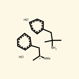 CC(C)(N)Cc1ccccc1.CN[C@@H](C)Cc1ccccc1.Cl.Cl